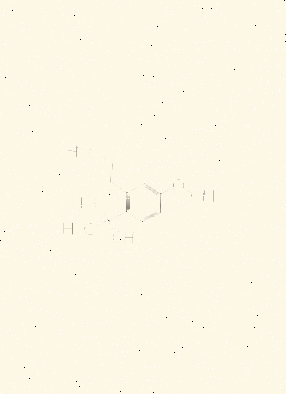 CCCc1cc(OC)ccc1C(C)(C)C